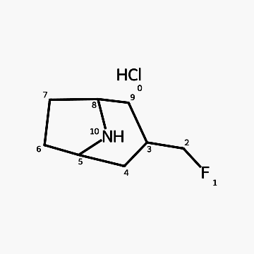 Cl.FCC1CC2CCC(C1)N2